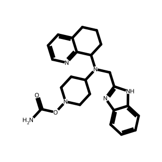 NC(=O)ON1CCC(N(Cc2nc3ccccc3[nH]2)C2CCCc3cccnc32)CC1